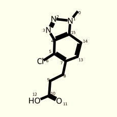 Cn1nnc2c(Cl)c(CCC(=O)O)ccc21